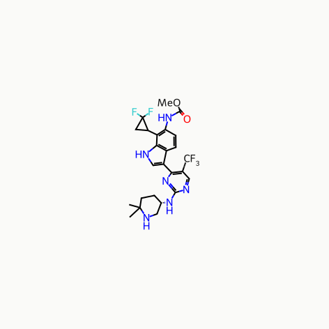 COC(=O)Nc1ccc2c(-c3nc(N[C@H]4CCC(C)(C)NC4)ncc3C(F)(F)F)c[nH]c2c1C1CC1(F)F